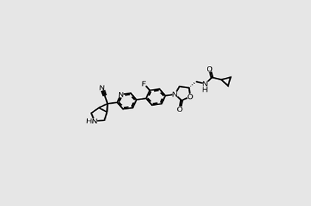 N#CC1(c2ccc(-c3ccc(N4C[C@H](CNC(=O)C5CC5)OC4=O)cc3F)cn2)C2CNCC21